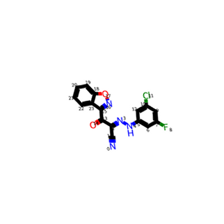 N#CC(=NNc1cc(F)cc(Cl)c1)C(=O)c1noc2ccccc12